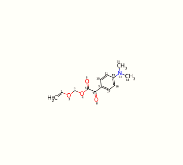 C=COCOC(=O)C(=O)c1ccc(N(C)C)cc1